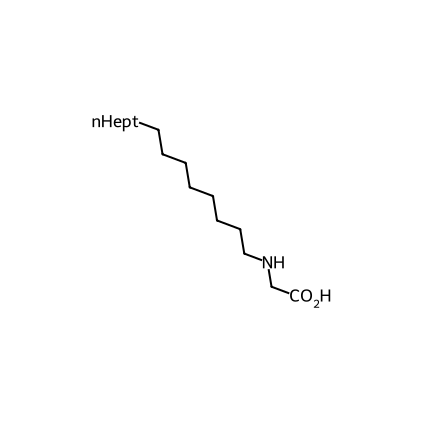 CCCCCCCCCCCCCCCNCC(=O)O